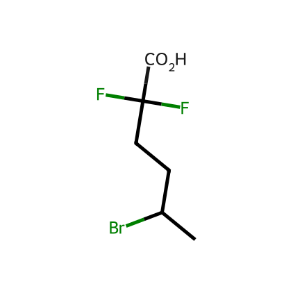 CC(Br)CCC(F)(F)C(=O)O